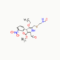 CCOC1=C(CSCCNC=O)NC(C=C=O)=C(C(=O)OC)C1c1cccc([N+](=O)[O-])c1